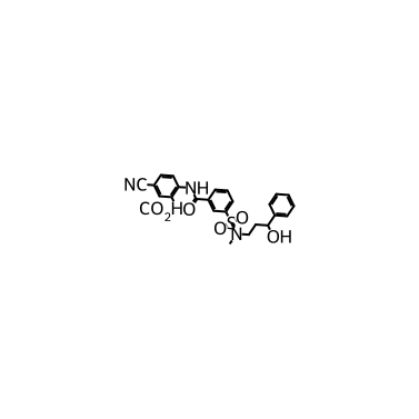 CN(CCC(O)c1ccccc1)S(=O)(=O)c1cccc(C(=O)Nc2ccc(C#N)cc2C(=O)O)c1